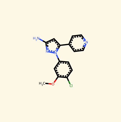 COc1cc(-n2nc(N)cc2-c2ccncc2)ccc1Cl